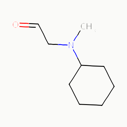 CN(CC=O)C1CCCCC1